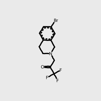 O=C(CN1CCc2ccc(Br)cc2C1)C(F)(F)F